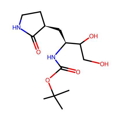 CC(C)(C)OC(=O)N[C@@H](C[C@@H]1CCNC1=O)C(O)CO